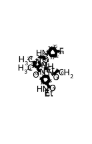 C=CC(=O)Nc1cc(C(=O)NCC)ccc1-n1c(CC)nc2c(c(C)c(C)n2CC(=O)Nc2ccc(F)cc2)c1=O